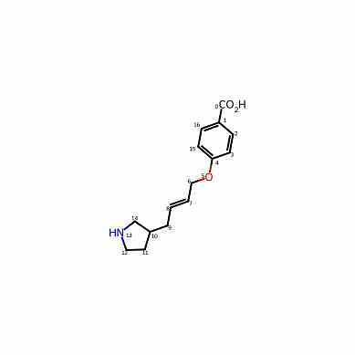 O=C(O)c1ccc(OCC=CCC2CCNC2)cc1